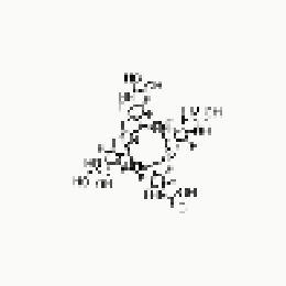 OCC(CO)Nc1c(F)c(F)c(-c2c3nc(c(-c4c(F)c(F)c(NC(CO)CO)c(F)c4F)c4ccc([nH]4)c(-c4c(F)c(F)c(NC(CO)CO)c(F)c4F)c4nc(c(-c5c(F)c(F)c(NC(CO)CO)c(F)c5F)c5ccc2[nH]5)CC4)C=C3)c(F)c1F